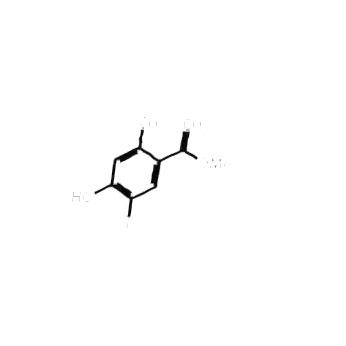 C=C(OC)c1cc(I)c(O)cc1C